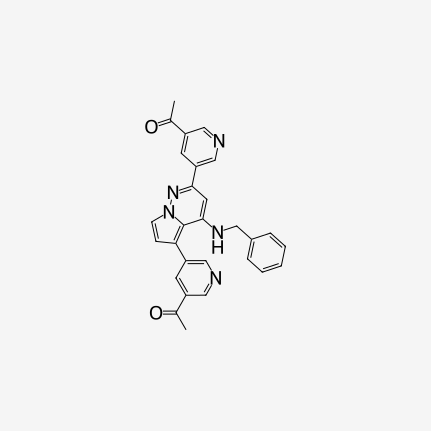 CC(=O)c1cncc(-c2cc(NCc3ccccc3)c3c(-c4cncc(C(C)=O)c4)ccn3n2)c1